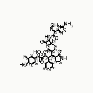 Nc1nc(C(=NO)C(=O)N[C@@H]2C(=O)N3C(C(=O)O)=C(C(=C4CCNC4=O)C(CC(=O)Nc4ccc(O)c(F)c4)c4ccncc4)CS[C@H]23)ns1